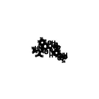 CC(C)CCC1(NCC2CC2)C(=O)C(C2=NS(=O)(=O)c3cc(NS(C)(=O)=O)ccc3N2)=C(O)c2ccccc21